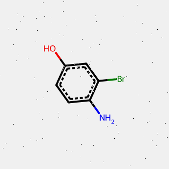 Nc1ccc(O)cc1Br